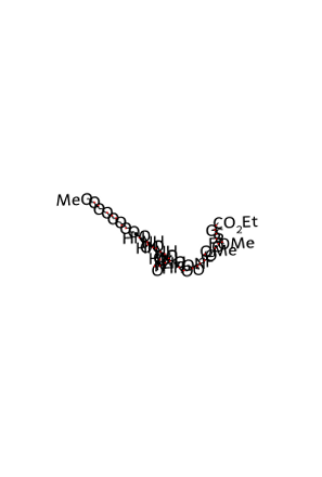 CCOC(=O)CCC(=O)c1cc2c(F)c(OCCCOc3c(OC)cc4c(c3F)CN(C(=O)CCC(=O)O[C@@H](C)CNC(=O)CC[C@H](NC(=O)CN3C(=O)C=CC3=O)C(=O)NCC(=O)NCC(=O)NCC(=O)NCC(=O)NCCOCCOCCOCCOCCOCCOCCOCCOC)C4)c(OC)cc2s1